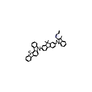 C=C/C=C\c1c(C)c2ccccc2n1-c1ccc2c(c1)C(C)(C)c1cc(-n3c4ccccc4c4c5sc6ccccc6c5ccc43)ccc1-2